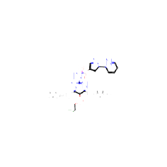 COc1nc(NS(=O)(=O)c2c[nH]c(-c3ccccn3)c2)nc(OC)c1OCCF